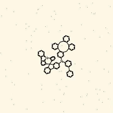 c1ccc(-c2cccc(N(c3ccc4c(c3)Cc3ccccc3-c3ccccc3Cc3ccccc3-4)c3ccc4c(c3)C3(c5ccccc5-4)c4ccccc4-n4c5ccccc5c5cccc3c54)c2)cc1